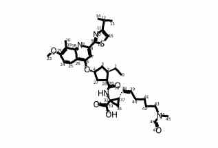 CC[C@@H]1C[C@H](Oc2cc(-c3nc(C(C)C)cs3)nc3c(C)c(OC)ccc23)CC1C(=O)N[C@]1(C(=O)O)C[C@H]1/C=C\CCCCN(C)C=O